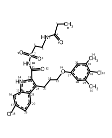 CCC(=O)NCCS(=O)(=O)NC(=O)c1[nH]c2cc(Cl)ccc2c1CCCOc1cc(C)c(Cl)c(C)c1